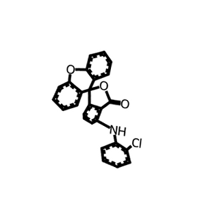 O=C1OC2(c3ccccc3Oc3ccccc32)c2cccc(Nc3ccccc3Cl)c21